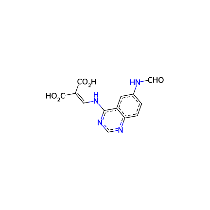 O=CNc1ccc2ncnc(NC=C(C(=O)O)C(=O)O)c2c1